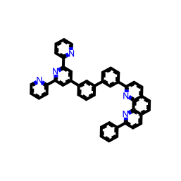 c1ccc(-c2ccc3ccc4ccc(-c5cccc(-c6cccc(-c7cc(-c8ccccn8)nc(-c8ccccn8)c7)c6)c5)nc4c3n2)cc1